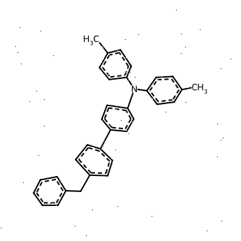 Cc1ccc(N(c2ccc(C)cc2)c2ccc(-c3ccc(Cc4ccccc4)cc3)cc2)cc1